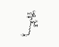 CCCCCCCC/C=C\CCCCCCCC(=O)OC[C@@H](O)[C@H]1OC[C@H](O)[C@H]1O.OCCO